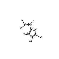 Cc1sc(N(C)C(C)C)c(C)c1C